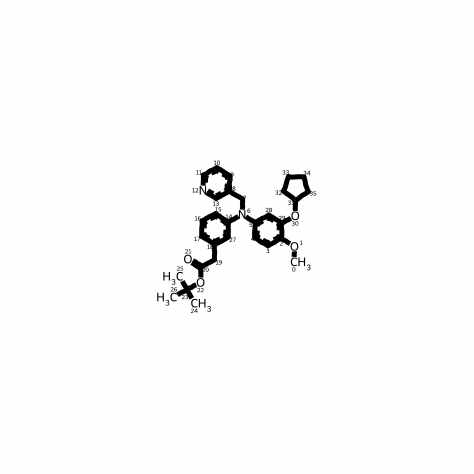 COc1ccc(N(Cc2cccnc2)c2cccc(CC(=O)OC(C)(C)C)c2)cc1OC1CCCC1